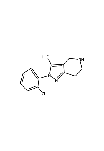 Cc1c2c(nn1-c1ccccc1Cl)CCNC2